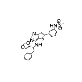 CS(=O)(=O)Nc1cccc(-c2cc3ncnc(NC(Cc4ccccc4)C4=COCO4)c3s2)c1